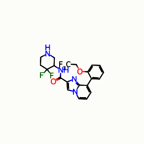 O=C(NC1CNCCC1(F)F)c1cn2cccc(-c3ccccc3OCC(F)(F)F)c2n1